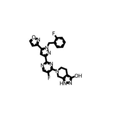 Oc1n[nH]c2c1CCN(c1nc(-c3cc(-c4ccon4)n(Cc4ccccc4F)n3)ncc1F)C2